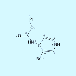 CC(C)OC(=O)N[C]1C=CNC=C1Br